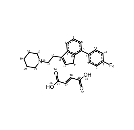 Fc1ccc(-c2cccc3c2CC=C3CCN2CCCCC2)cc1.O=C(O)C=CC(=O)O